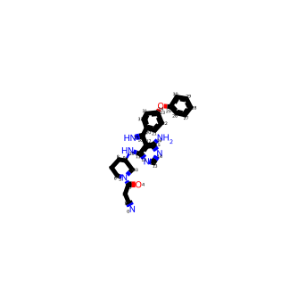 N#CCC(=O)N1CCC[C@@H](Nc2ncnc(N)c2C(=N)c2ccc(Oc3ccccc3)cc2)C1